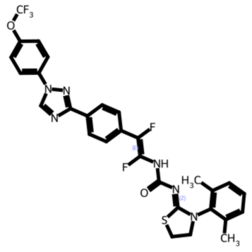 Cc1cccc(C)c1N1CCS/C1=N\C(=O)N/C(F)=C(\F)c1ccc(-c2ncn(-c3ccc(OC(F)(F)F)cc3)n2)cc1